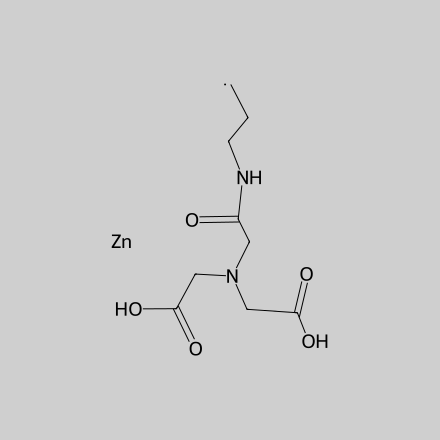 [CH2]CCNC(=O)CN(CC(=O)O)CC(=O)O.[Zn]